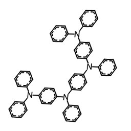 c1ccc(N(c2ccccc2)c2ccc(N(c3ccccc3)c3ccc(N(c4ccccc4)c4ccc(N(c5ccccc5)c5ccccc5)cc4)cc3)cc2)cc1